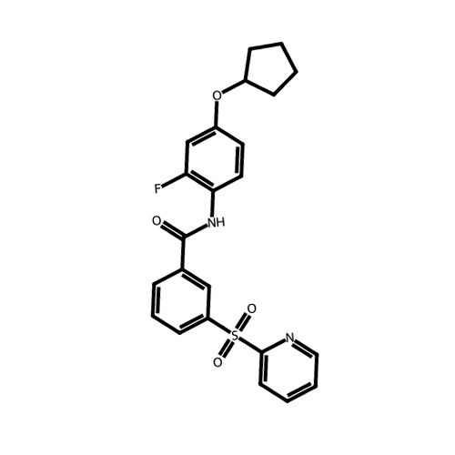 O=C(Nc1ccc(OC2CCCC2)cc1F)c1cccc(S(=O)(=O)c2ccccn2)c1